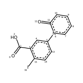 O=C(O)c1cc(-n2ccccc2=O)ccc1I